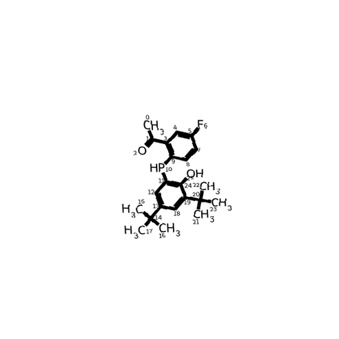 CC(=O)c1cc(F)ccc1Pc1cc(C(C)(C)C)cc(C(C)(C)C)c1O